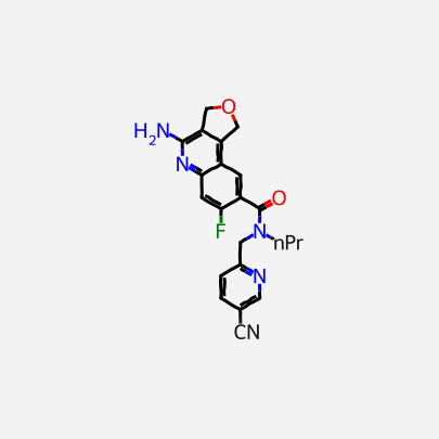 CCCN(Cc1ccc(C#N)cn1)C(=O)c1cc2c3c(c(N)nc2cc1F)COC3